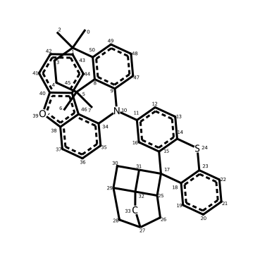 CC1(C)CCC(C)(C)c2c(N(c3ccc4c(c3)C3(c5ccccc5S4)C4CC5CC6CC3C64C5)c3cccc4oc5ccccc5c34)cccc21